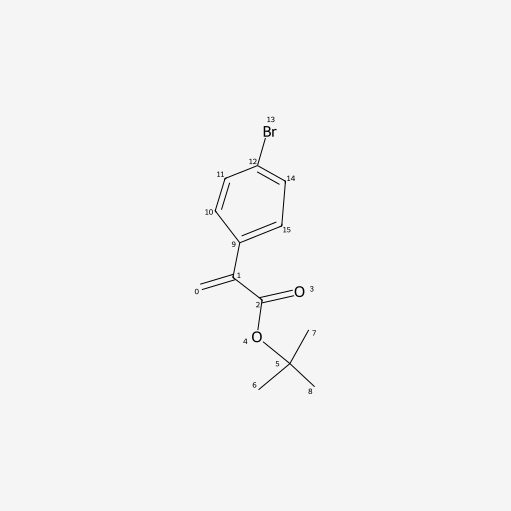 C=C(C(=O)OC(C)(C)C)c1ccc(Br)cc1